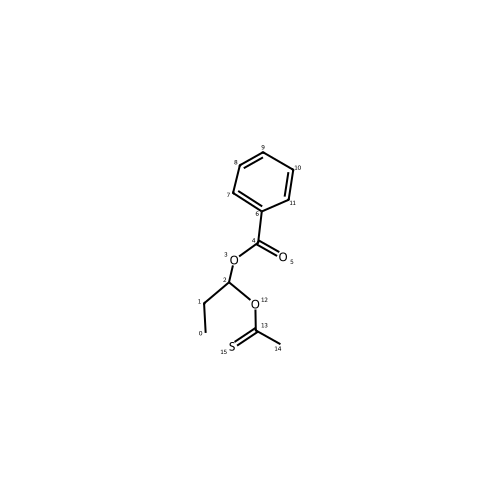 CCC(OC(=O)c1ccccc1)OC(C)=S